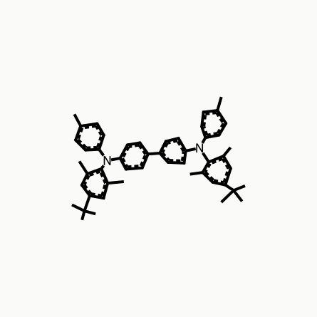 Cc1ccc(N(c2ccc(-c3ccc(N(c4ccc(C)cc4)c4c(C)cc(C(C)(C)C)cc4C)cc3)cc2)c2c(C)cc(C(C)(C)C)cc2C)cc1